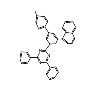 Cc1ccc(-c2cc(-c3nc(-c4ccccc4)nc(-c4ccccc4)n3)cc(-c3cccc4ccccc34)c2)cn1